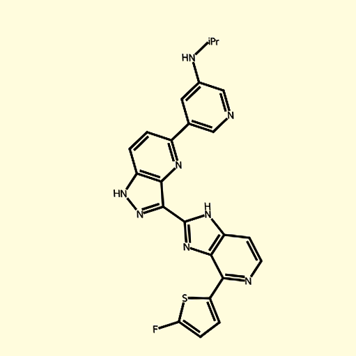 CC(C)Nc1cncc(-c2ccc3[nH]nc(-c4nc5c(-c6ccc(F)s6)nccc5[nH]4)c3n2)c1